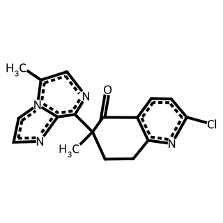 Cc1cnc(C2(C)CCc3nc(Cl)ccc3C2=O)c2nccn12